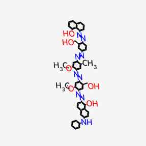 COc1cc(N=Nc2ccc(N=Nc3cccc4cccc(O)c34)c(CO)c2)c(C)cc1N=Nc1cc(OC)c(N=Nc2ccc3cc(Nc4ccccc4)ccc3c2O)cc1CO